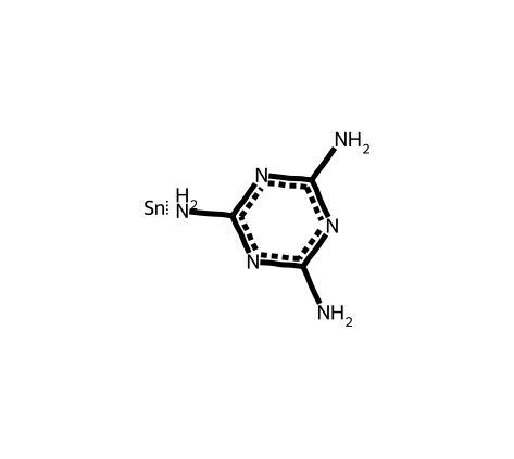 Nc1nc(N)nc(N)n1.[Sn]